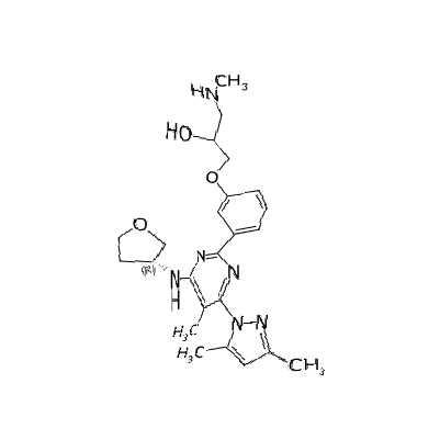 CNCC(O)COc1cccc(-c2nc(N[C@@H]3CCOC3)c(C)c(-n3nc(C)cc3C)n2)c1